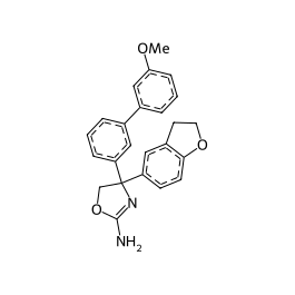 COc1cccc(-c2cccc(C3(c4ccc5c(c4)CCO5)COC(N)=N3)c2)c1